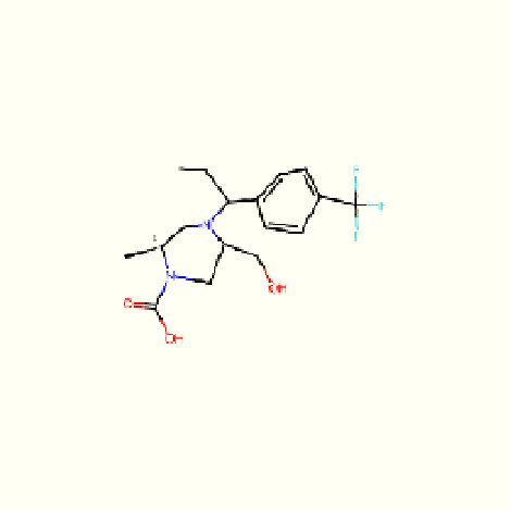 CCC(c1ccc(C(F)(F)F)cc1)N1C[C@H](C)N(C(=O)O)CC1CO